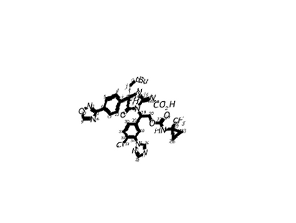 CC(C)(C)C[C@]1(c2ccc(-c3ncon3)cc2)NC(=NC(=O)O)N(C(COC(=O)NC2(C(F)(F)F)CC2)c2ccc(Cl)c(-n3cncn3)c2)C1=O